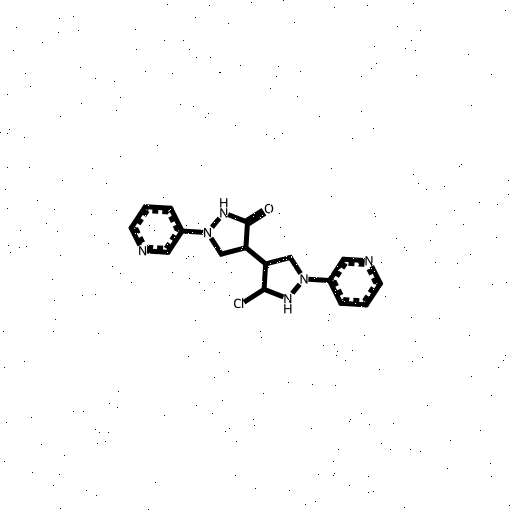 O=C1NN(c2cccnc2)CC1C1CN(c2cccnc2)NC1Cl